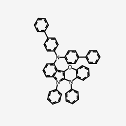 c1ccc(-c2ccc(N(c3ccc(-c4ccccc4)cc3)c3cccc4c3c3c(n4-c4ccccc4)N(c4ccccc4)c4ccccc4O3)cc2)cc1